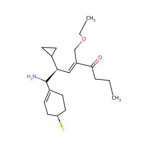 CCCC(=O)/C(=C/[C@H](C1CC1)C(N)C1=CC[C@H](F)CC1)COCC